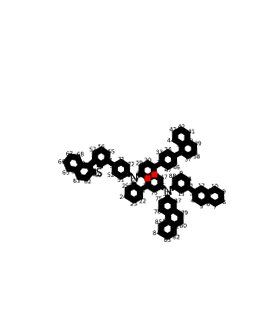 c1cc(-c2ccc3ccccc3c2)cc(N(c2cccc(-c3ccccc3N(c3ccc(-c4ccc(-c5cccc6ccccc56)cc4)cc3)c3ccc(-c4cccc5c4sc4ccc6ccccc6c45)cc3)c2)c2ccc3c(ccc4ccccc43)c2)c1